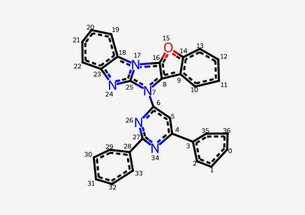 c1ccc(-c2cc(-n3c4c5ccccc5oc4n4c5ccccc5nc34)nc(-c3ccccc3)n2)cc1